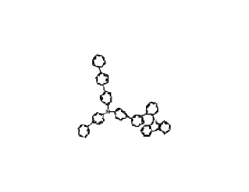 c1ccc(-c2ccc(-c3ccc(N(c4ccc(-c5ccccc5)cc4)c4ccc(-c5cccc(-c6ccccc6-n6c7ccccc7c7ccccc76)c5)cc4)cc3)cc2)cc1